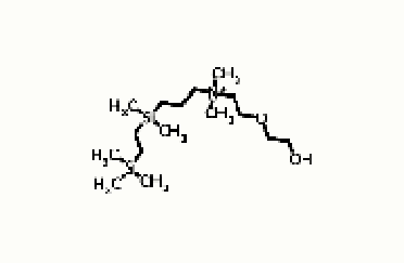 C[N+](C)(CCC[Si](C)(C)CC[Si](C)(C)C)CCOCCO